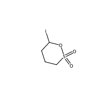 O=S1(=O)CCCC(I)O1